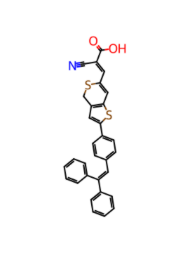 N#C/C(=C\C1=Cc2sc(-c3ccc(C=C(c4ccccc4)c4ccccc4)cc3)cc2CS1)C(=O)O